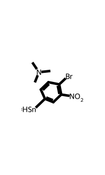 CN(C)C.O=[N+]([O-])c1c[c]([SnH])ccc1Br